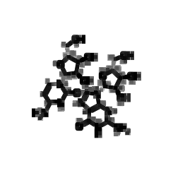 Nc1ccn([C@@H]2O[C@H](CO)[C@@H](O)[C@H]2O)c(=O)n1.Nc1nc2c(ncn2[C@@H]2O[C@H](CO)[C@@H](O)[C@H]2O)c(=O)[nH]1